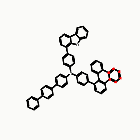 c1ccc(-c2ccc(-c3ccc(N(c4ccc(-c5cccc(-c6ccccc6)c5-c5ccccc5-c5ccccc5)cc4)c4ccc(-c5cccc6c5oc5ccccc56)cc4)cc3)cc2)cc1